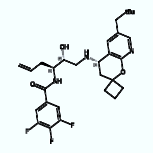 C=CC[C@H](NC(=O)c1cc(F)c(F)c(F)c1)[C@H](O)CN[C@H]1CC2(CCC2)Oc2ncc(CC(C)(C)C)cc21